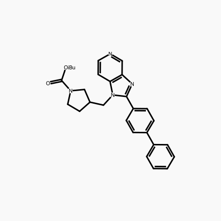 CC(C)COC(=O)N1CCC(Cn2c(-c3ccc(-c4ccccc4)cc3)nc3cnccc32)C1